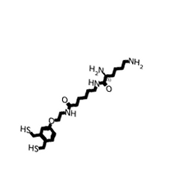 NCCCC[C@H](N)C(=O)NCCCCCC(=O)NCCOc1ccc(CS)c(CS)c1